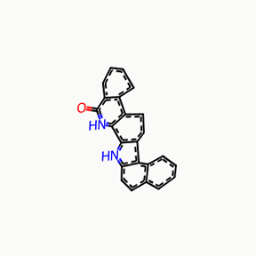 O=c1[nH]c2c(ccc3c2[nH]c2ccc4ccccc4c23)c2ccccc12